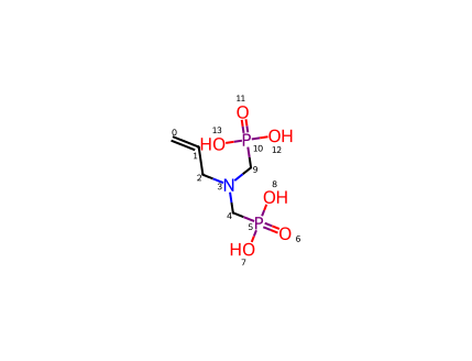 C=CCN(CP(=O)(O)O)CP(=O)(O)O